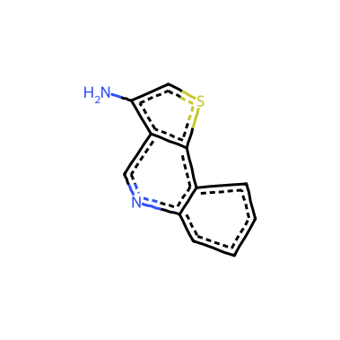 Nc1csc2c1cnc1ccccc12